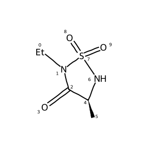 CCN1C(=O)[C@H](C)NS1(=O)=O